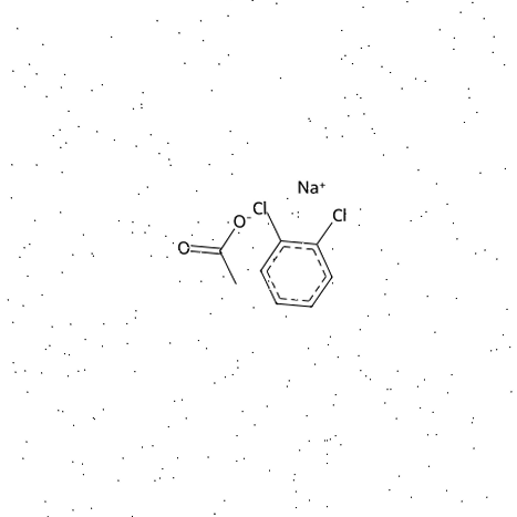 CC(=O)[O-].Clc1ccccc1Cl.[Na+]